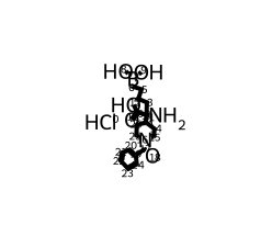 Cl.NC(CCCCB(O)O)(C(=O)O)C1CCN(C(=O)c2ccccc2)CC1